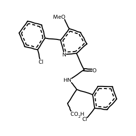 COc1ccc(C(=O)NC(CC(=O)O)c2ccccc2Cl)nc1-c1ccccc1Cl